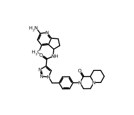 Cc1cc(N)nc2c1C(NC(=O)c1cn(Cc3ccc(N4CCN5CCCCC5C4=O)cc3)nn1)CC2